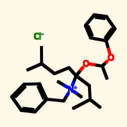 CC(C)CCC(CC(C)C)(OC(C)Oc1ccccc1)[N+](C)(C)Cc1ccccc1.[Cl-]